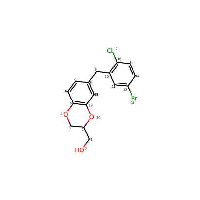 OCC1COc2ccc(Cc3cc(Br)ccc3Cl)cc2O1